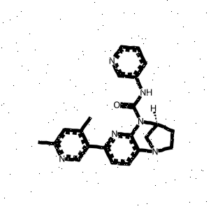 Cc1cc(C)c(-c2ccc3c(n2)N(C(=O)Nc2cccnc2)[C@H]2CCN3C2)cn1